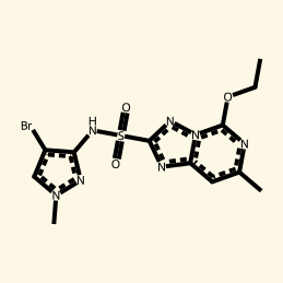 CCOc1nc(C)cc2nc(S(=O)(=O)Nc3nn(C)cc3Br)nn12